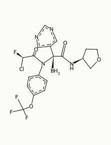 B[C@](C(=O)N[C@H]1CCOC1)(c1cncnc1)N(C(=O)[C@H](F)Cl)c1ccc(OC(F)(F)F)cc1